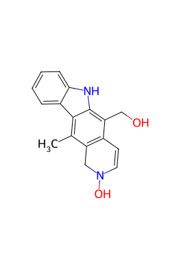 Cc1c2c(c(CO)c3[nH]c4ccccc4c13)C=CN(O)C2